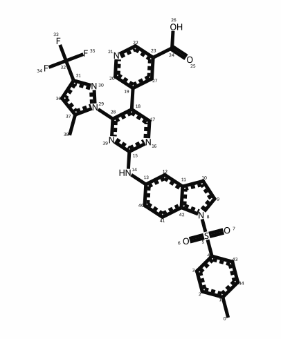 Cc1ccc(S(=O)(=O)n2ccc3cc(Nc4ncc(-c5cncc(C(=O)O)c5)c(-n5nc(C(F)(F)F)cc5C)n4)ccc32)cc1